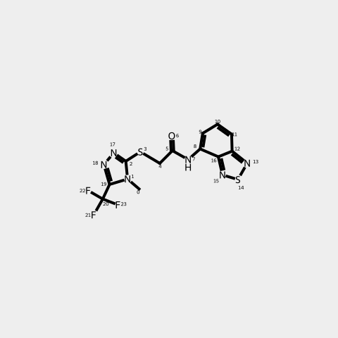 Cn1c(SCC(=O)Nc2cccc3nsnc23)nnc1C(F)(F)F